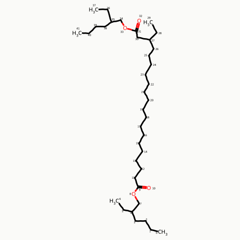 CCCCC(CC)COC(=O)CCCCCCCCCCCCCCCCC(CC)CC(=O)OCC(CC)CCCC